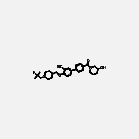 CC(C)(F)CN1CCC(COc2ccc(-c3ccc(C(=O)N4CCC[C@H](O)C4)cc3)cc2C#N)CC1